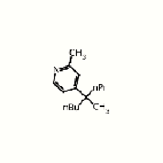 CCCCC(C)(CCC)c1ccnc(C)c1